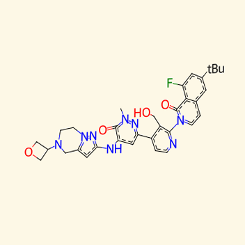 Cn1nc(-c2ccnc(-n3ccc4cc(C(C)(C)C)cc(F)c4c3=O)c2CO)cc(Nc2cc3n(n2)CCN(C2COC2)C3)c1=O